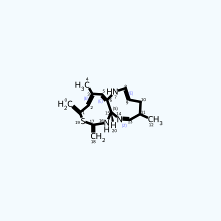 C=C1/C=C(C)/C=C2/N/C=C/CC(C)/C=N\[C@@H]2NC(=C)S1